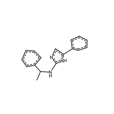 CC(Nc1ncc(-c2ccccc2)[nH]1)c1ccccc1